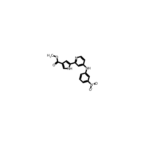 COC(=O)c1c[nH]c(-c2cc(Nc3cccc([N+](=O)[O-])c3)ccn2)c1